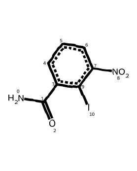 NC(=O)c1cccc([N+](=O)[O-])c1I